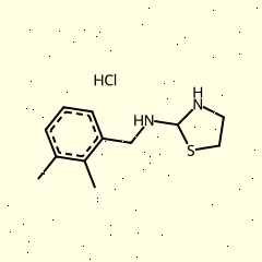 Cc1cccc(CNC2NCCS2)c1C.Cl